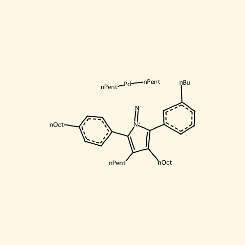 CCCCCCCCC1=C(c2cccc(CCCC)c2)[N+](=[N-])C(c2ccc(CCCCCCCC)cc2)=C1CCCCC.CCCC[CH2][Pd][CH2]CCCC